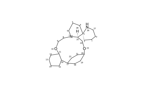 C1CC[C@]2(CCCN3CCOC4CCCCC4C4CCC(CC4)OC[C@@H]32)NC1